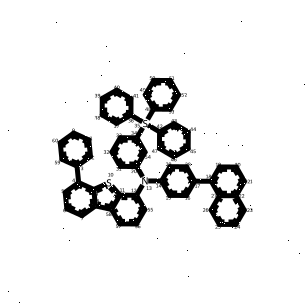 c1ccc(-c2cccc3c2sc2c(N(c4ccc(-c5cccc6ccccc56)cc4)c4cccc(S(c5ccccc5)(c5ccccc5)c5ccccc5)c4)cccc23)cc1